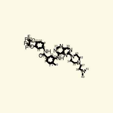 Cc1ccc(C(=O)Nc2ccc3c(c2)OC(F)(F)C(F)(F)O3)cc1Nc1ncnc2cnc(N3CCN(CCN(C)C)CC3)nc12